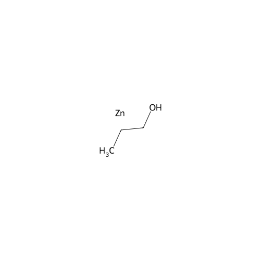 CCCO.[Zn]